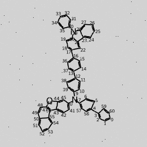 c1ccc(-c2ccc(N(c3ccc(-c4ccc(-c5ccc6c(c5)c5ccccc5n6-c5ccccc5)cc4)cc3)c3ccc4c(c3)oc3ccc5ccccc5c34)cc2)cc1